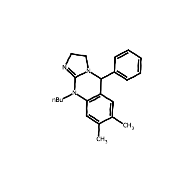 CCCCN1C2=NCCN2C(c2ccccc2)c2cc(C)c(C)cc21